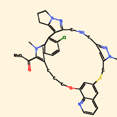 COC(=O)c1c2c3ccc(Cl)c(c3n1C)-c1c(nn3c1CCC3)CNCc1cc(n(C)n1)CSc1cc(c3ncccc3c1)OCCC2